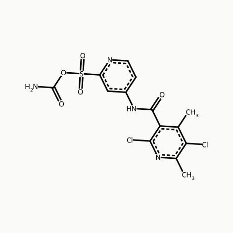 Cc1nc(Cl)c(C(=O)Nc2ccnc(S(=O)(=O)OC(N)=O)c2)c(C)c1Cl